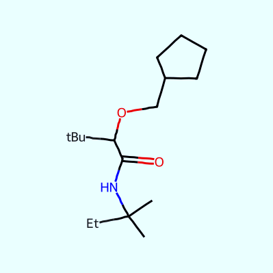 CCC(C)(C)NC(=O)C(OCC1CCCC1)C(C)(C)C